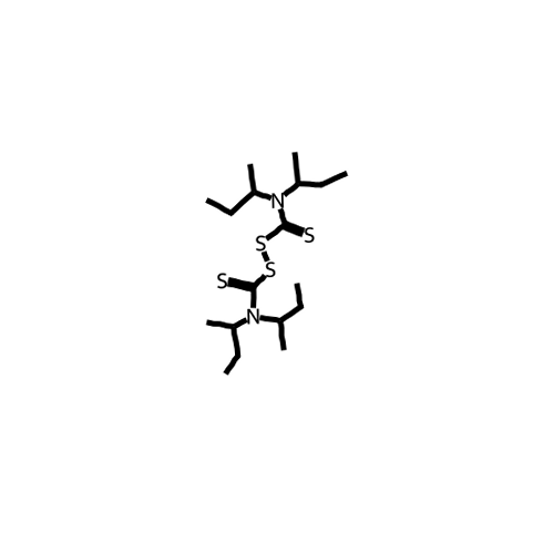 CCC(C)N(C(=S)SSC(=S)N(C(C)CC)C(C)CC)C(C)CC